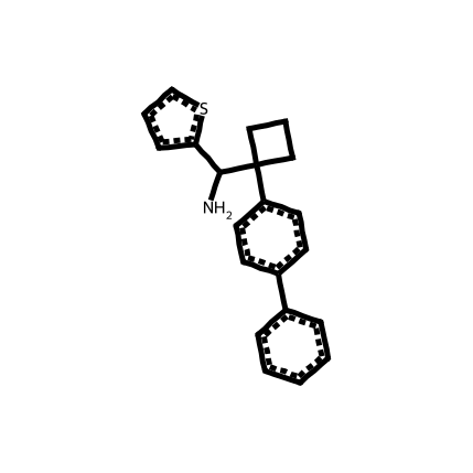 NC(c1cccs1)C1(c2ccc(-c3ccccc3)cc2)CCC1